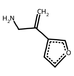 C=C(CN)c1ccoc1